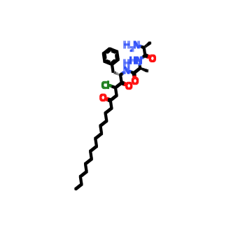 CCCCCCCCCCCCCCC(=O)CC(Cl)C(=O)[C@H](Cc1ccccc1)NC(=O)[C@H](C)NC(=O)[C@H](C)N